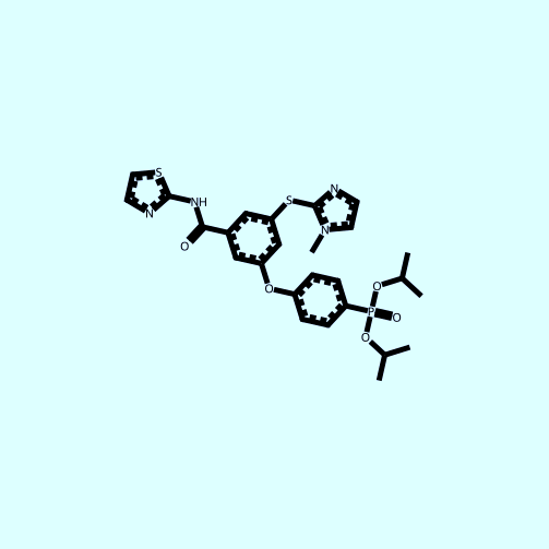 CC(C)OP(=O)(OC(C)C)c1ccc(Oc2cc(Sc3nccn3C)cc(C(=O)Nc3nccs3)c2)cc1